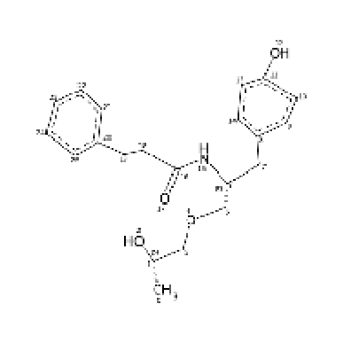 C[C@H](O)COC[C@@H](Cc1ccc(O)cc1)NC(=O)CCc1ccccc1